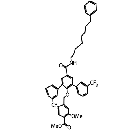 COC(=O)c1ccc(COc2c(-c3cccc(C(F)(F)F)c3)cc(C(=O)NCCCCCCCCc3ccccc3)cc2-c2cccc(C(F)(F)F)c2)cc1OC